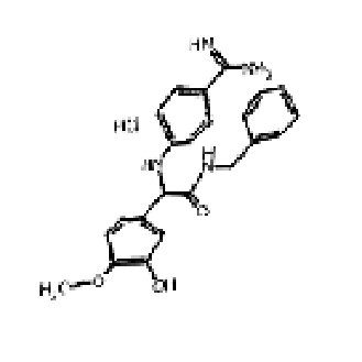 COc1ccc(C(Nc2ccc(C(=N)N)cc2)C(=O)NCc2ccccc2)cc1O.Cl